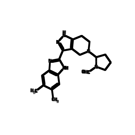 Cc1cc2nc(-c3n[nH]c4c3CN(C3CCCN3C=O)CC4)[nH]c2cc1C